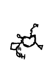 N#CSc1cc(C2CC2)cn(C2CC[C@@H]2O)c1=O